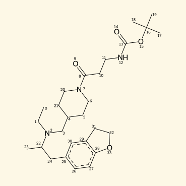 CCN(CC1CCN(C(=O)CCNC(=O)OC(C)(C)C)CC1)C(C)Cc1ccc2c(c1)CCO2